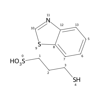 O=S(=O)(O)CCCS.c1ccc2scnc2c1